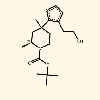 C[C@H]1CC(C)(c2sccc2CCO)CCN1C(=O)OC(C)(C)C